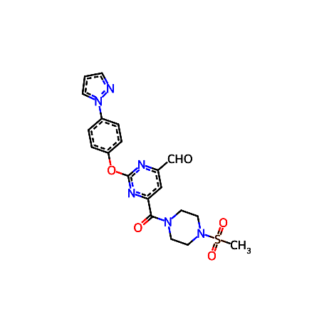 CS(=O)(=O)N1CCN(C(=O)c2cc(C=O)nc(Oc3ccc(-n4cccn4)cc3)n2)CC1